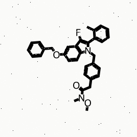 CON(C)C(=O)Cc1ccc(Cn2c(-c3ccccc3C)c(F)c3cc(OCc4ccccc4)ccc32)cc1